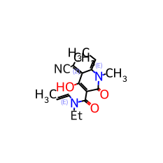 C/C=C/N(CC)C(=O)c1c(O)c(=C(/C)C#N)/c(=C\C)n(C)c1=O